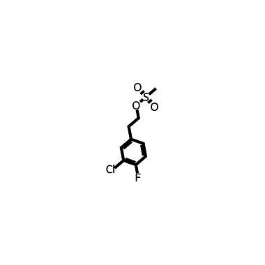 CS(=O)(=O)OCCc1ccc(F)c(Cl)c1